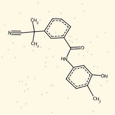 Cc1ccc(NC(=O)c2cccc(C(C)(C)C#N)c2)cc1O